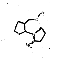 CC(C)OCC1CCCC1N1CCCC1C#N